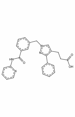 O=C(O)CCc1cn(Cc2cccc(C(=O)Nc3ccccn3)c2)nc1-c1ccccc1